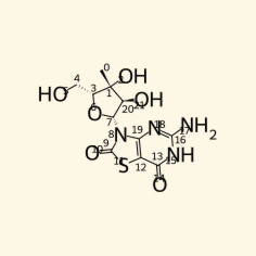 C[C@]1(O)[C@@H](CO)O[C@@H](n2c(=O)sc3c(=O)[nH]c(N)nc32)[C@@H]1O